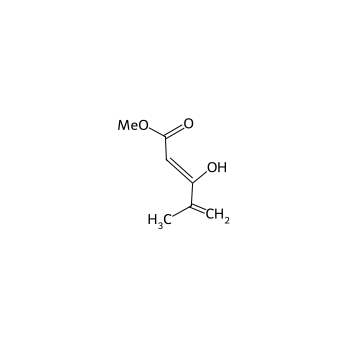 C=C(C)C(O)=CC(=O)OC